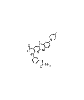 COc1cc(N2CCN(C)CC2)ccc1Nc1ncc([N+](=O)[O-])c(Nc2cccc(OC(N)=O)c2)n1